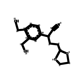 N#CC(CCC1OCCO1)c1ccc(CO)c(CO)c1